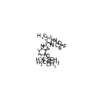 Cc1cc(-c2nc3cccc(O[Si](C)(C)C(C)(C)C)c3s2)c2ncc(OC(F)F)nc2c1